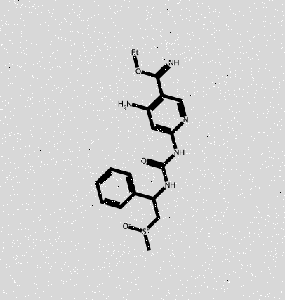 CCOC(=N)c1cnc(NC(=O)NC(C[S+](C)[O-])c2ccccc2)cc1N